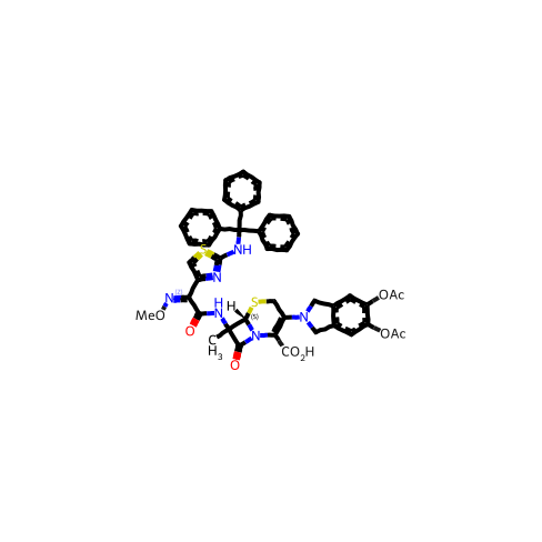 CO/N=C(\C(=O)NC1(C)C(=O)N2C(C(=O)O)=C(N3Cc4cc(OC(C)=O)c(OC(C)=O)cc4C3)CS[C@H]21)c1csc(NC(c2ccccc2)(c2ccccc2)c2ccccc2)n1